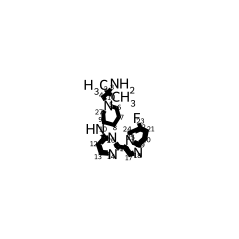 CC(C)(N)CN1CCC[C@@H](Nc2ccnc(-c3cnc4ccc(F)cn34)n2)C1